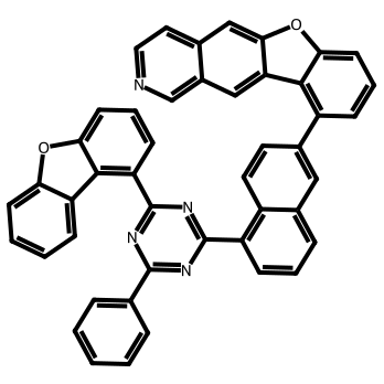 c1ccc(-c2nc(-c3cccc4cc(-c5cccc6oc7cc8ccncc8cc7c56)ccc34)nc(-c3cccc4oc5ccccc5c34)n2)cc1